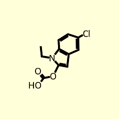 CCn1c(OC(=O)O)cc2cc(Cl)ccc21